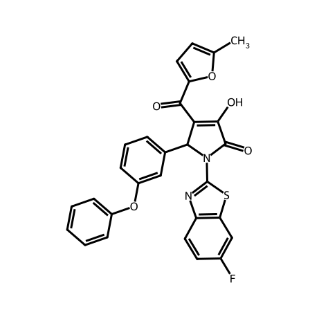 Cc1ccc(C(=O)C2=C(O)C(=O)N(c3nc4ccc(F)cc4s3)C2c2cccc(Oc3ccccc3)c2)o1